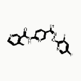 CCC(=NOc1ncc(F)cc1F)c1ccc(NC(=O)c2cnccc2C)nc1